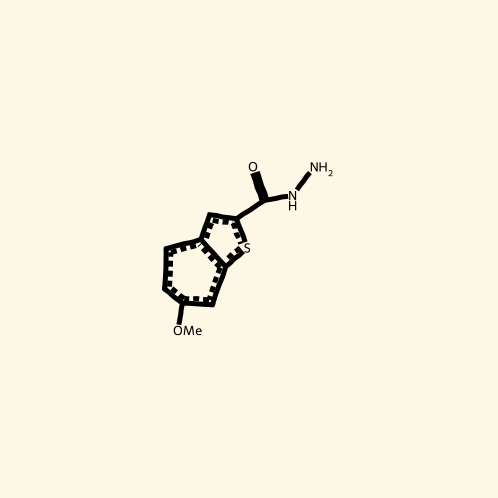 COc1ccc2cc(C(=O)NN)sc2c1